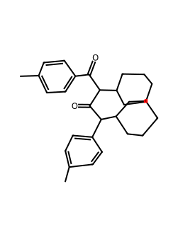 Cc1ccc(C(=O)C(C(=O)C(c2ccc(C)cc2)C2CCCCC2)C2CCCCC2)cc1